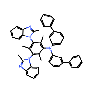 Cc1c(N(c2cccc(-c3ccccc3)c2)c2cccc(-c3ccccc3)c2)c(C)c(-n2c(C)nc3ccccc32)c(C)c1-n1c(C)nc2ccccc21